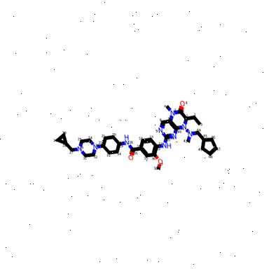 CCC1C(=O)N(C)c2cnc(Nc3ccc(C(=O)NC4CCC(N5CCN(CC6CC6)CC5)CC4)cc3OC)nc2N1N(C)CC1CCCC1